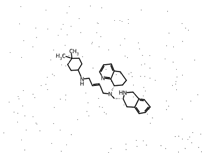 CC1(C)CCC(NC/C=C/CN(C[C@H]2Cc3ccccc3CN2)[C@H]2CCCc3cccnc32)CC1